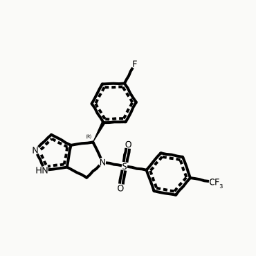 O=S(=O)(c1ccc(C(F)(F)F)cc1)N1Cc2[nH]ncc2[C@H]1c1ccc(F)cc1